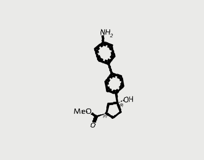 COC(=O)[C@@H]1CC[C@](O)(c2ccc(-c3ccc(N)cc3)cc2)C1